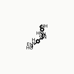 CCC(CO)NCc1ccc(-c2cc3ncnc(Nc4ccc5[nH]ccc5c4)c3s2)cc1